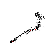 Cn1cc(NC(=O)c2nc(NC(=O)CCNC(=O)c3cc(NC(=O)c4nccn4C)cn3C)cn2C)cc1C(=O)NCCC(=O)Nc1cn(C)c(C(=O)NCCC(=O)NCCOCCOCCOCCN2CCN(C(=O)OCc3ccccc3)CC2)n1